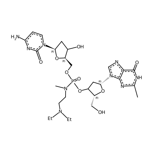 CCN(CC)CCN(C)P(=O)(OC[C@H]1O[C@@H](n2ccc(N)nc2=O)CC1O)OC1C[C@H](n2cnc3c(=O)[nH]c(C)nc32)O[C@@H]1CO